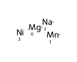 [Mg].[Mn].[Na].[Ni]